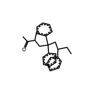 CCC(CC(CC(C)C(C)=O)(c1ccccc1)c1ccccc1)c1ccccc1